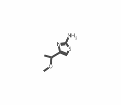 COC(C)c1csc(N)n1